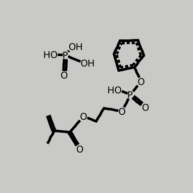 C=C(C)C(=O)OCCOP(=O)(O)Oc1ccccc1.O=P(O)(O)O